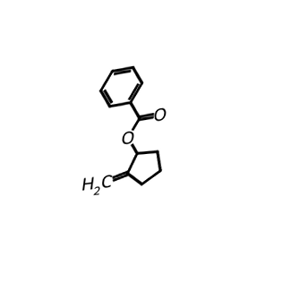 C=C1CCCC1OC(=O)c1ccccc1